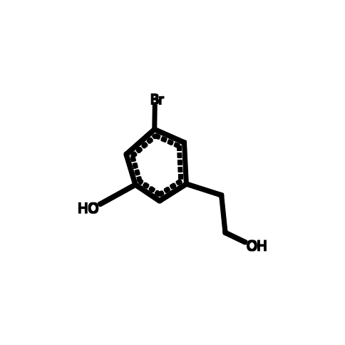 OCCc1cc(O)cc(Br)c1